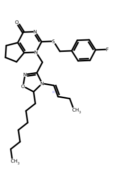 CC/C=C/N1C(Cn2c(SCc3ccc(F)cc3)nc(=O)c3c2CCC3)=NOC1CCCCCCC